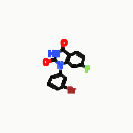 O=c1[nH]c(=O)n(-c2cccc(Br)c2)c2cc(F)ccc12